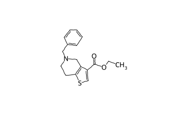 CCOC(=O)c1csc2c1CN(Cc1ccccc1)CC2